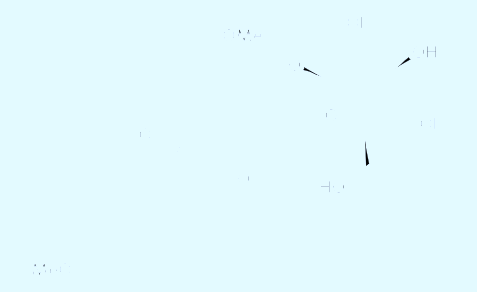 COc1ccc(-c2coc3cc(O[C@@H]4O[C@H](CO)[C@@H](O)[C@H](O)[C@H]4O)c(OC)cc3c2=O)cc1